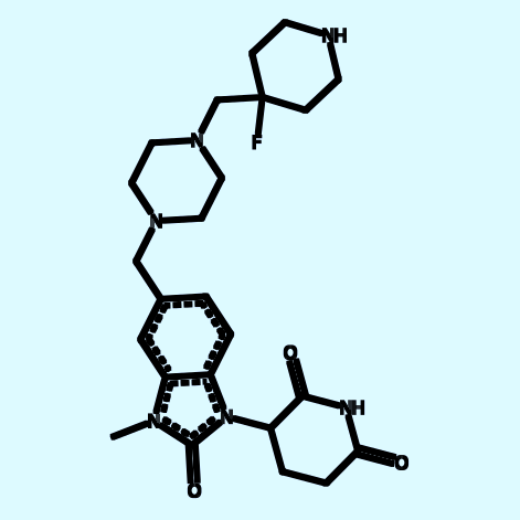 Cn1c(=O)n(C2CCC(=O)NC2=O)c2ccc(CN3CCN(CC4(F)CCNCC4)CC3)cc21